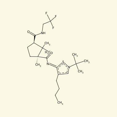 CCCCc1cn(C(C)(C)C)s/c1=N\C(=O)[C@@]1(C)CC[C@@H](C(=O)NCC(F)(F)F)C1(C)C